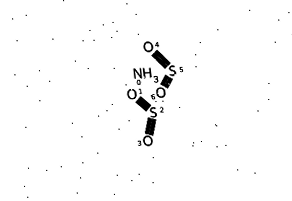 N.O=S=O.O=S=O